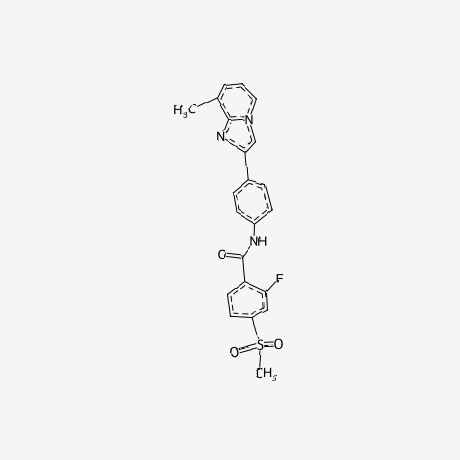 Cc1cccn2cc(-c3ccc(NC(=O)c4ccc(S(C)(=O)=O)cc4F)cc3)nc12